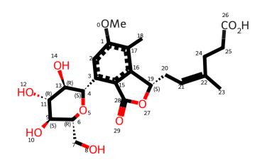 COc1cc([C@@H]2O[C@H](CO)[C@@H](O)[C@H](O)[C@H]2O)c2c(c1C)[C@H](CC=C(C)CCC(=O)O)OC2=O